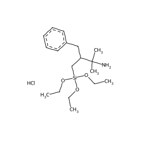 CCO[Si](CC(Cc1ccccc1)C(C)(C)N)(OCC)OCC.Cl